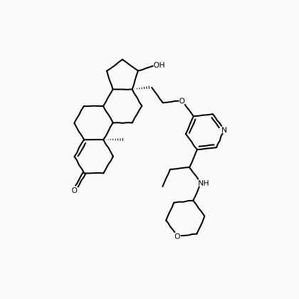 CCC(NC1CCOCC1)c1cncc(OCC[C@]23CCC4C(CCC5=CC(=O)CC[C@@]54C)C2CCC3O)c1